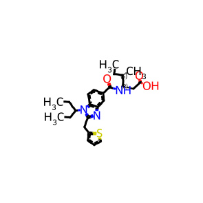 CCC(CC)n1c(Cc2cccs2)nc2cc(C(=O)N[C@H](CC(=O)O)[C@@H](C)CC)ccc21